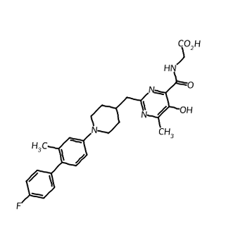 Cc1cc(N2CCC(Cc3nc(C)c(O)c(C(=O)NCC(=O)O)n3)CC2)ccc1-c1ccc(F)cc1